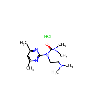 Cc1cc(C)nc(N(CCN(C)C)C(=O)N(C)C)n1.Cl